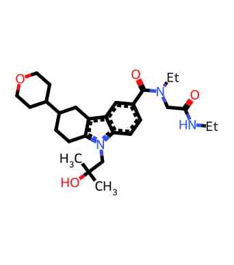 CCNC(=O)CN(CC)C(=O)c1ccc2c(c1)c1c(n2CC(C)(C)O)CCC(C2CCOCC2)C1